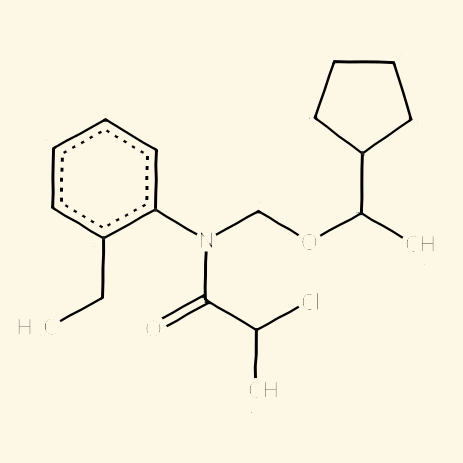 CCc1ccccc1N(COC(C)C1CCCC1)C(=O)C(C)Cl